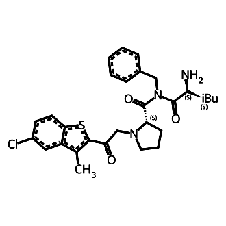 CC[C@H](C)[C@H](N)C(=O)N(Cc1ccccc1)C(=O)[C@@H]1CCCN1CC(=O)c1sc2ccc(Cl)cc2c1C